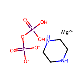 C1CNCCN1.O=P([O-])([O-])OP(=O)(O)O.[Mg+2]